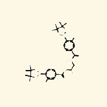 CC1(C)OB(c2ccc(C(=O)NC[C@H](NC(=O)c3ccc(B4OC(C)(C)C(C)(C)O4)c(F)c3)C(=O)O)cc2F)OC1(C)C